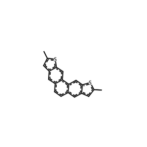 Cc1cc2cc3ccc4cc5cc(C)sc5cc4c3cc2s1